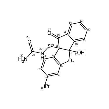 CC(C)c1ccc2c(c1)OC1(O)c3ccccc3C(=O)C21SNC(N)=O